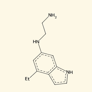 CCc1cc(NCCN)cc2[nH]ccc12